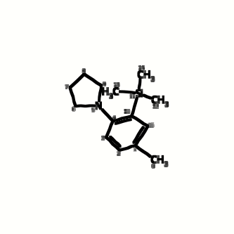 Cc1ccc(N2CCCC2)c([Si](C)(C)C)c1